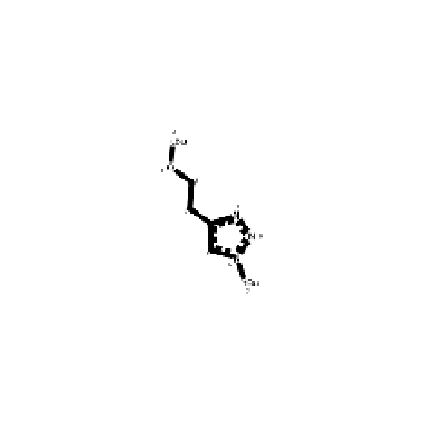 CC(C)(C)OCCc1cn(C(C)(C)C)nn1